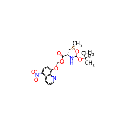 CSC[C@H](NC(=O)OC(C)(C)C)C(=O)OCOc1ccc([N+](=O)[O-])c2cccnc12